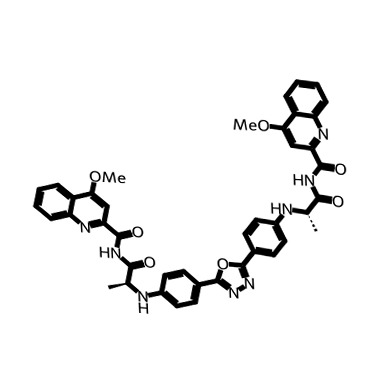 COc1cc(C(=O)NC(=O)[C@H](C)Nc2ccc(-c3nnc(-c4ccc(N[C@@H](C)C(=O)NC(=O)c5cc(OC)c6ccccc6n5)cc4)o3)cc2)nc2ccccc12